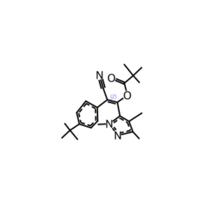 Cc1nn(C)c(/C(OC(=O)C(C)(C)C)=C(/C#N)c2ccc(C(C)(C)C)cc2)c1C